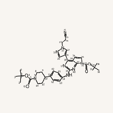 CC(C)(C)OC(=O)N1CCC(c2ccc(Nc3nc(-c4cnn(CCC#N)c4)c4ccn(C(=O)OC(C)(C)C)c4n3)cc2)CC1